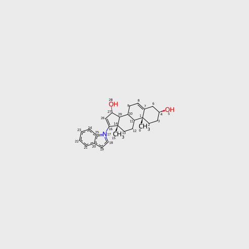 C[C@]12CC[C@H](O)CC1=CCC1C2CC[C@]2(C)C(n3ccc4ccccc43)=CC(O)C12